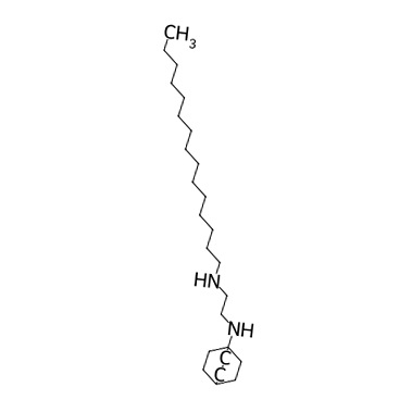 CCCCCCCCCCCCCCCNCCNC12CCC(CC1)CC2